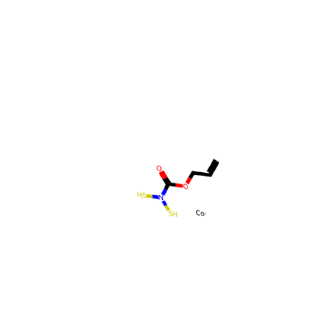 C=CCOC(=O)N(S)S.[Co]